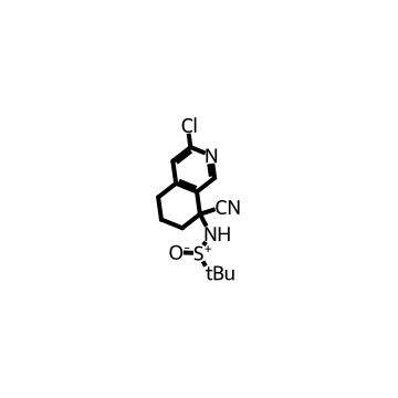 CC(C)(C)[S+]([O-])NC1(C#N)CCCc2cc(Cl)ncc21